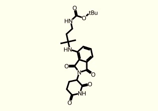 CC(C)(CCNC(=O)OC(C)(C)C)Nc1cccc2c1C(=O)N(C1CCC(=O)NC1=O)C2=O